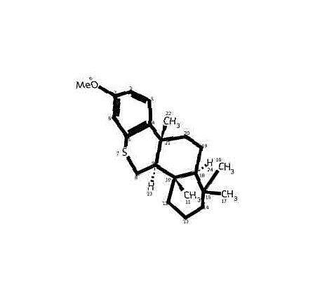 COc1ccc2c(c1)SC[C@@H]1[C@@]3(C)CCCC(C)(C)[C@@H]3CC[C@@]21C